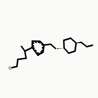 CCC[C@H]1CC[C@H](CCc2ccc(C(C)CCC[O])cc2)CC1